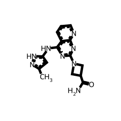 Cc1cc(Nc2nc(N3CC(C(N)=O)C3)nc3ncccc23)[nH]n1